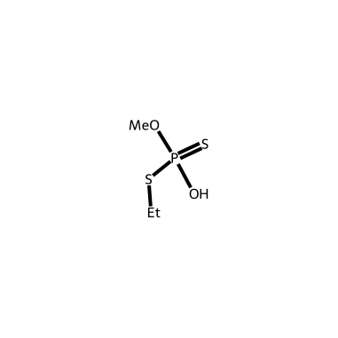 CCSP(O)(=S)OC